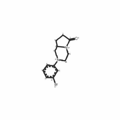 O=C1CCC2CN(c3cccc(Br)c3)CCN12